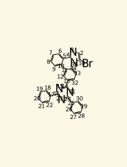 Brc1cnc2c3ccccc3c3cc(-c4nc(-c5ccccc5)nc(-c5ccccc5)n4)ccc3n12